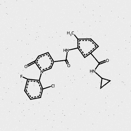 Cc1ccc(C(=O)NC2CC2)cc1NC(=O)c1ccc(=O)n(-c2c(F)cccc2Cl)c1